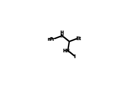 CCCNC(CC)NI